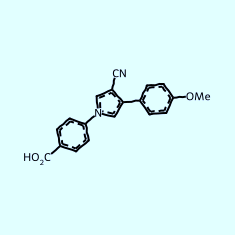 COc1ccc(-c2cn(-c3ccc(C(=O)O)cc3)cc2C#N)cc1